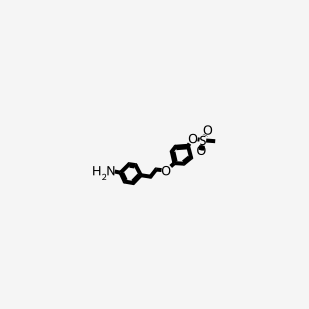 CS(=O)(=O)Oc1ccc(OCCc2ccc(N)cc2)cc1